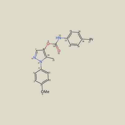 COc1ccc(-n2ncc(OC(=O)Nc3ccc(C(C)C)cc3)c2C)cc1